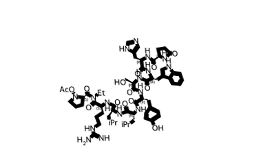 CCN(C(=O)[C@H](CCCNC(=N)N)NC(=O)[C@H](CC(C)C)NC(=O)[C@@H](CC(C)C)NC(=O)[C@@H](Cc1ccc(O)cc1)NC(=O)[C@@H](CO)NC(=O)[C@@H](Cc1c[nH]c2ccccc12)NC(=O)[C@@H](Cc1cnc[nH]1)NC(=O)[C@H]1CCC(=O)N1)C(=O)[C@@H]1CCCN1OC(C)=O